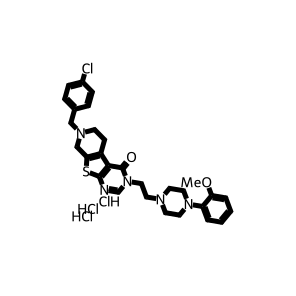 COc1ccccc1N1CCN(CCn2cnc3sc4c(c3c2=O)CCN(Cc2ccc(Cl)cc2)C4)CC1.Cl.Cl.Cl